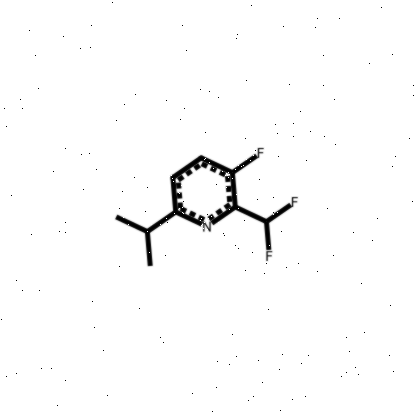 CC(C)c1ccc(F)c(C(F)F)n1